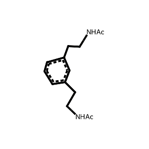 CC(=O)NCCc1cccc(CCNC(C)=O)c1